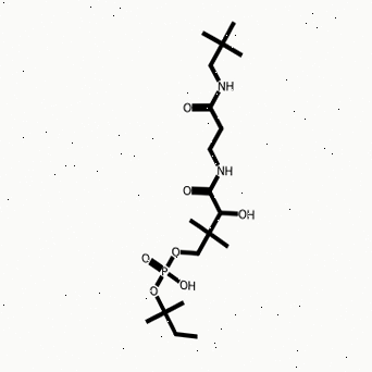 CCC(C)(C)OP(=O)(O)OCC(C)(C)C(O)C(=O)NCCC(=O)NCC(C)(C)C